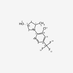 CC1C[C@@H](O)CN1c1ncc(C(F)(F)F)cc1Cl